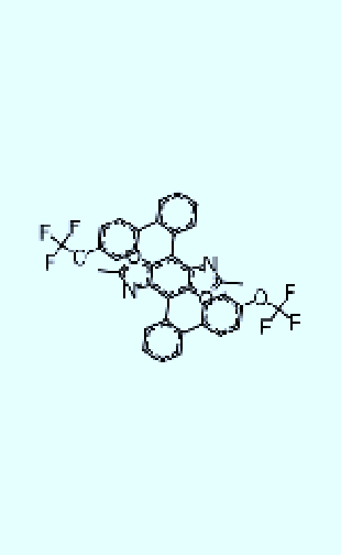 Cc1nc2c(-c3ccccc3-c3ccc(OC(F)(F)F)cc3)c3oc(C)nc3c(-c3ccccc3-c3ccc(OC(F)(F)F)cc3)c2o1